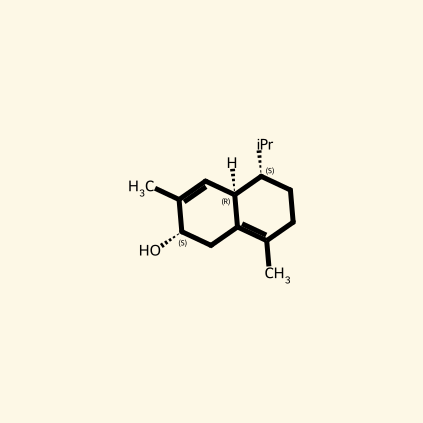 CC1=C[C@@H]2C(=C(C)CC[C@H]2C(C)C)C[C@@H]1O